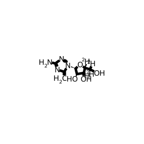 [2H]C([2H])(O)[C@@]1([2H])O[C@@H](N2C=NC(N)=NC2=C)[C@@H](O)C1([2H])O